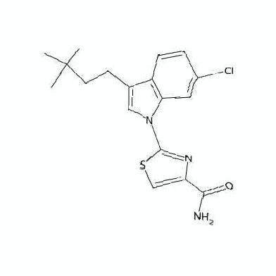 CC(C)(C)CCc1cn(-c2nc(C(N)=O)cs2)c2cc(Cl)ccc12